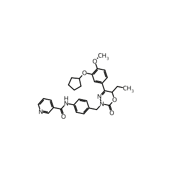 CCC1OC(=O)N(Cc2ccc(NC(=O)c3cccnc3)cc2)N=C1c1ccc(OC)c(OC2CCCC2)c1